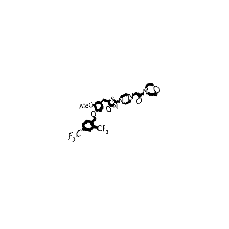 COc1cc(C=C2SC(N3CCN(CC(=O)N4CCOCC4)CC3)=NC2=O)ccc1OCc1ccc(C(F)(F)F)cc1C(F)(F)F